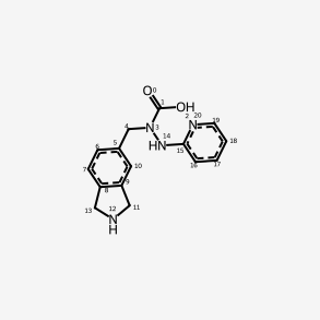 O=C(O)N(Cc1ccc2c(c1)CNC2)Nc1ccccn1